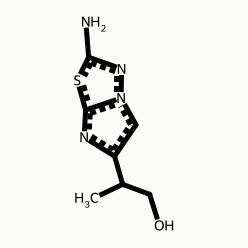 CC(CO)c1cn2nc(N)sc2n1